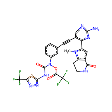 Cn1c(-c2nc(N)ncc2C#Cc2cccc(N(OC(=O)C(F)(F)F)C(=O)Nc3nnc(C(F)(F)F)s3)c2)cc2c1CCNC2=O